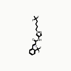 CC(F)(F)CCCCn1cc(NC(=O)/C=C/c2ccccc2C(F)(F)F)cn1